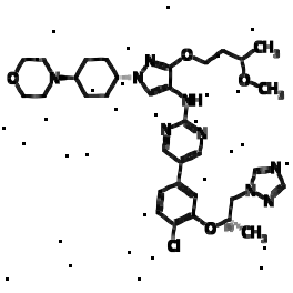 COC(C)CCOc1nn([C@H]2CC[C@H](N3CCOCC3)CC2)cc1Nc1ncc(-c2ccc(Cl)c(O[C@@H](C)Cn3cncn3)c2)cn1